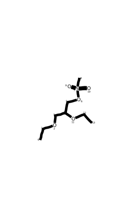 CCOCC(COS(C)(=O)=O)OCC